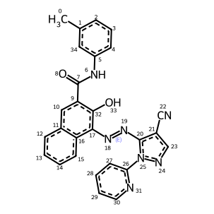 Cc1cccc(NC(=O)c2cc3ccccc3c(/N=N/c3c(C#N)cnn3-c3ccccn3)c2O)c1